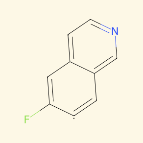 Fc1[c]cc2cnccc2c1